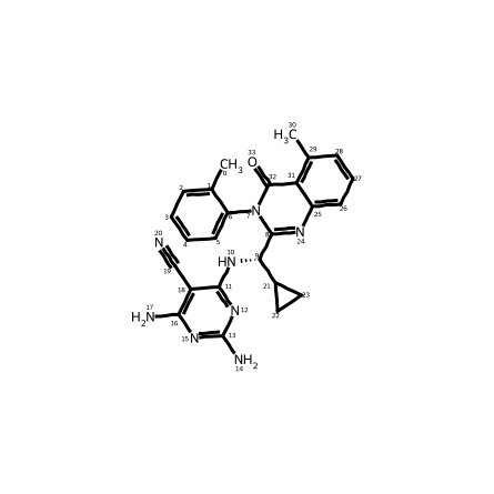 Cc1ccccc1-n1c([C@@H](Nc2nc(N)nc(N)c2C#N)C2CC2)nc2cccc(C)c2c1=O